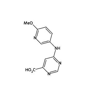 COc1ccc(Nc2cc(C(=O)O)ncn2)cn1